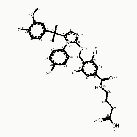 COc1cc(C(C)(C)c2cnc(SCc3c(F)cc(C(=O)NCCCC(=O)O)cc3Cl)n2-c2ccc(F)cc2)ccc1Cl